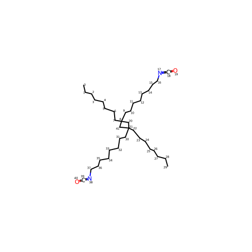 CCCCCCCCC1(CCCCCCCCN=C=O)CC(CCCCCCCC)(CCCCCCCCN=C=O)C1